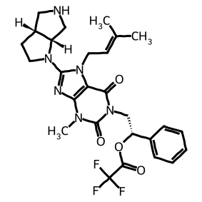 CC(C)=CCn1c(N2CC[C@@H]3CNC[C@@H]32)nc2c1c(=O)n(C[C@@H](OC(=O)C(F)(F)F)c1ccccc1)c(=O)n2C